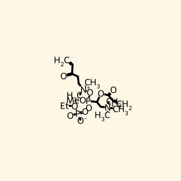 C=CC(=O)CC[N+](C)(C)OP(=O)(OC)C(C[N+](C)(C)C)OC(=O)C=C.CCOP(=O)([O-])[O-]